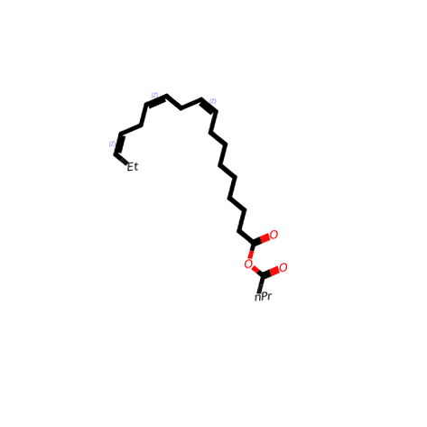 CC/C=C\C/C=C\C/C=C\CCCCCCCC(=O)OC(=O)CCC